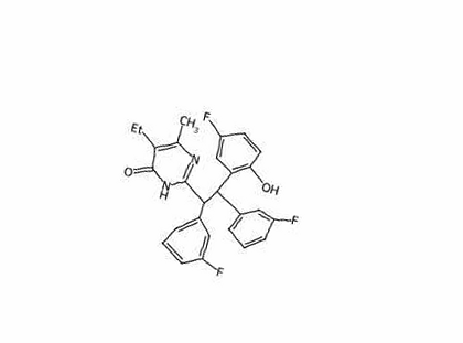 CCc1c(C)nc(C(c2cccc(F)c2)C(c2cccc(F)c2)c2cc(F)ccc2O)[nH]c1=O